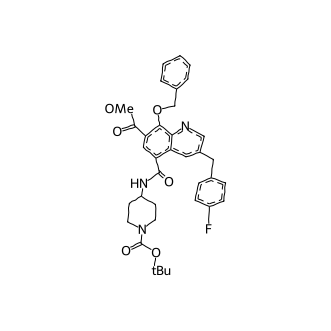 COC(=O)c1cc(C(=O)NC2CCN(C(=O)OC(C)(C)C)CC2)c2cc(Cc3ccc(F)cc3)cnc2c1OCc1ccccc1